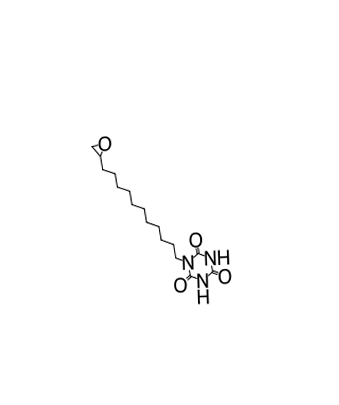 O=c1[nH]c(=O)n(CCCCCCCCCCCC2CO2)c(=O)[nH]1